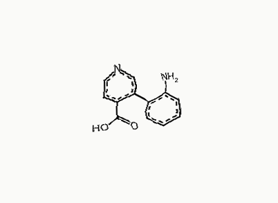 Nc1ccccc1-c1cnccc1C(=O)O